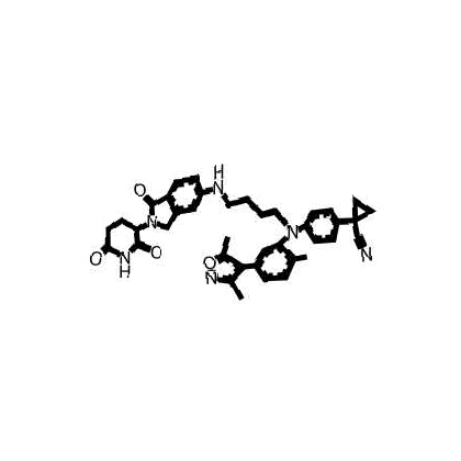 Cc1ccc(-c2c(C)noc2C)cc1N(CCCCNc1ccc2c(c1)CN(C1CCC(=O)NC1=O)C2=O)c1ccc(C2(C#N)CC2)cc1